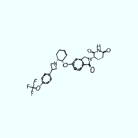 O=C1CCC(N2Cc3cc(O[C@H]4CCCC[C@H]4N4CC(c5ccc(OC(F)(F)F)cc5)C4)ccc3C2=O)C(=O)N1